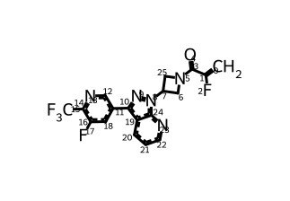 C=C(F)C(=O)N1CC(n2nc(-c3cnc(C(F)(F)F)c(F)c3)c3cccnc32)C1